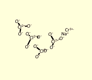 [Cr+3].[Na+].[O-][Cl+2]([O-])[O-].[O-][Cl+2]([O-])[O-].[O-][Cl+2]([O-])[O-].[O-][Cl+2]([O-])[O-]